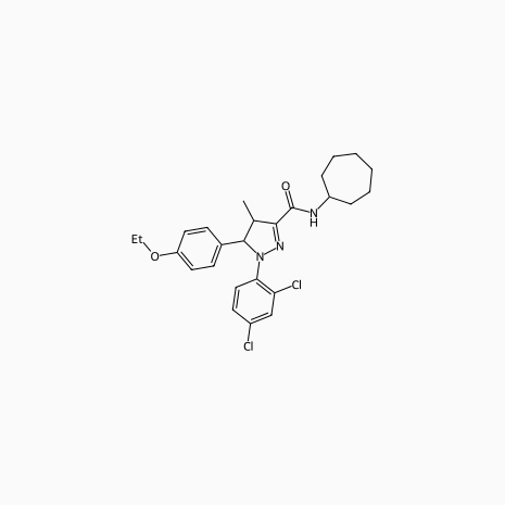 CCOc1ccc(C2C(C)C(C(=O)NC3CCCCCC3)=NN2c2ccc(Cl)cc2Cl)cc1